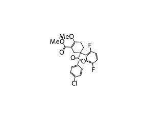 COC(=O)C1=C(OC)CCC(c2cc(F)ccc2F)(S(=O)(=O)c2ccc(Cl)cc2)C1